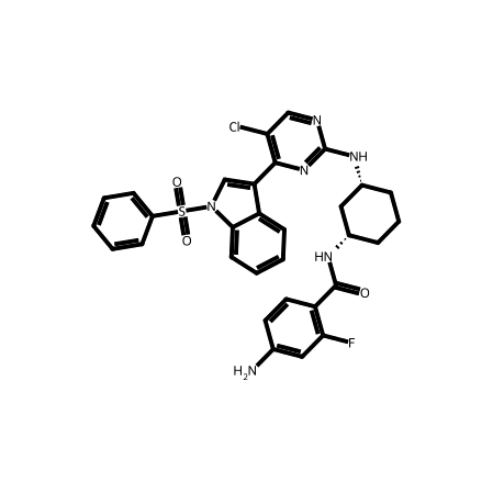 Nc1ccc(C(=O)N[C@H]2CCC[C@@H](Nc3ncc(Cl)c(-c4cn(S(=O)(=O)c5ccccc5)c5ccccc45)n3)C2)c(F)c1